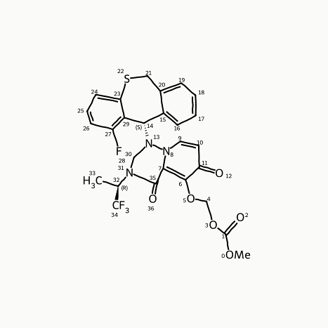 COC(=O)OCOc1c2n(ccc1=O)N([C@H]1c3ccccc3CSc3cccc(F)c31)CN([C@H](C)C(F)(F)F)C2=O